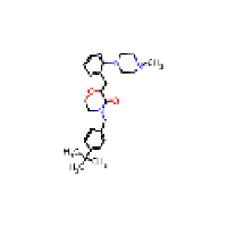 CN1CCN(c2ccccc2CC2OCCN(Cc3ccc(C(C)(C)C)cc3)C2=O)CC1